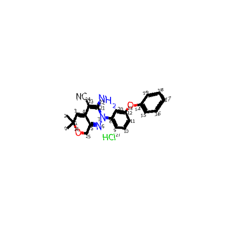 CC1(C)C=C2C(=NN(c3cccc(Oc4ccccc4)c3)C(N)=C2C#N)CO1.Cl